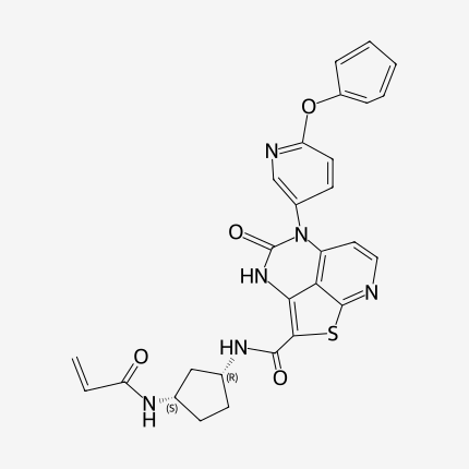 C=CC(=O)N[C@H]1CC[C@@H](NC(=O)c2sc3nccc4c3c2NC(=O)N4c2ccc(Oc3ccccc3)nc2)C1